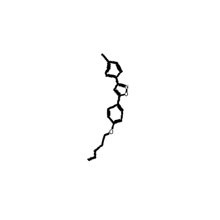 CCCCCOc1ccc(-c2cc(-c3ccc(C)cc3)no2)cc1